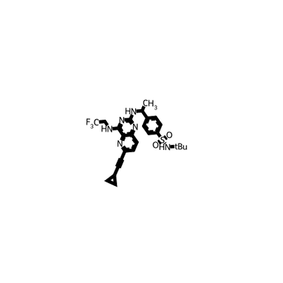 CC(Nc1nc(NCC(F)(F)F)c2nc(C#CC3CC3)ccc2n1)c1ccc(S(=O)(=O)NC(C)(C)C)cc1